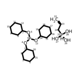 C1CCC(OP(OC2CCCCC2)OC2CCCCC2)CC1.C=CC[PH](O)(O)O